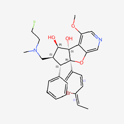 C=C(/C=C\C(Br)=C/C)[C@@]12Oc3cncc(OC)c3[C@]1(O)[C@H](O)[C@H](CN(C)CCF)[C@H]2c1ccccc1